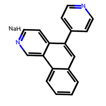 [NaH].c1ccc2c(c1)cc(-c1ccncc1)c1ccncc12